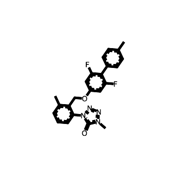 Cc1ccc(-c2c(F)cc(OCc3c(C)cccc3-n3nnn(C)c3=O)cc2F)cc1